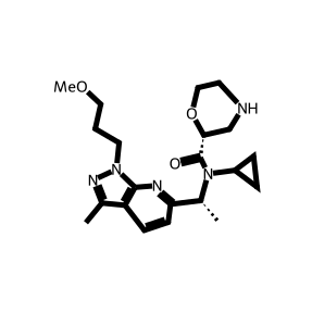 COCCCn1nc(C)c2ccc([C@@H](C)N(C(=O)[C@H]3CNCCO3)C3CC3)nc21